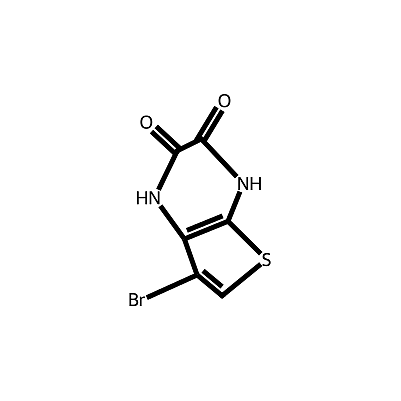 O=c1[nH]c2scc(Br)c2[nH]c1=O